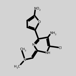 CN(C)C=C1N=C(c2ccc([N+](=O)[O-])o2)C(N)=C(Cl)N1